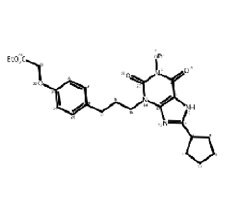 CCCn1c(=O)c2[nH]c(C3CCCC3)nc2n(CCCc2ccc(OCC(=O)OCC)cc2)c1=O